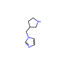 c1cn(CC2CCNC2)cn1